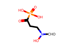 O=CN(O)CCC(=O)P(=O)(O)O